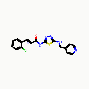 O=C(/C=C/c1ccccc1Cl)Nc1nnc(NCc2ccncc2)s1